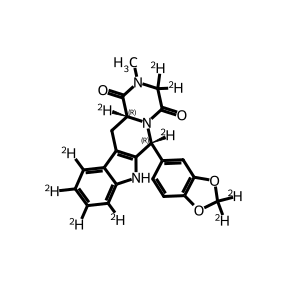 [2H]c1c([2H])c([2H])c2c3c([nH]c2c1[2H])[C@@]([2H])(c1ccc2c(c1)OC([2H])([2H])O2)N1C(=O)C([2H])([2H])N(C)C(=O)[C@@]1([2H])C3